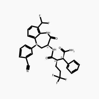 N#Cc1cccc(N2C[C@H](NC(=O)[C@H](CCC(F)(F)F)[C@@H](C(N)=O)c3ccccc3)C(=O)Nc3c(C(F)F)cccc32)c1